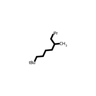 [CH2]C(C)(C)CCCCC(C)CC(C)C